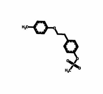 Cc1ccc(OCCc2ccc(OS(C)(=O)=O)cc2)cc1